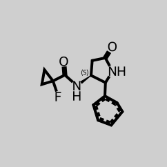 O=C1C[C@H](NC(=O)C2(F)CC2)C(c2ccccc2)N1